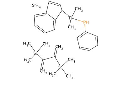 C=C(C(=C)[Si](C)(C)C)[Si](C)(C)C.[CH3][Ti]([CH3])([PH]c1ccccc1)[CH]1C=Cc2ccccc21.[SiH4]